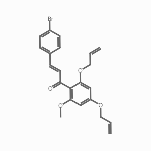 C=CCOc1cc(OC)c(C(=O)/C=C/c2ccc(Br)cc2)c(OCC=C)c1